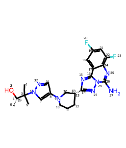 C[C@H](O)C(C)(C)n1cc(N2CCC[C@@H](c3nc4c5cc(F)cc(F)c5nc(N)n4n3)C2)cn1